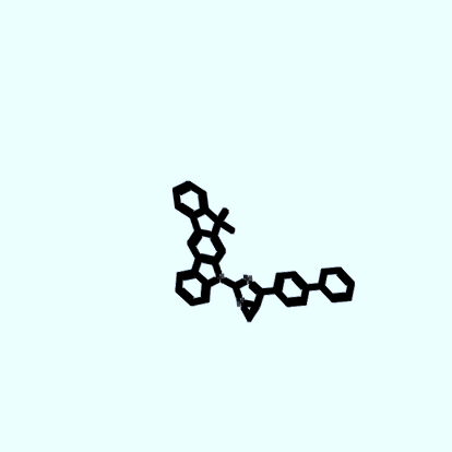 CC1(C)c2ccccc2-c2cc3c4ccccc4n(C4N=C(c5ccc(C6C=CC=CC6)cc5)C5CN54)c3cc21